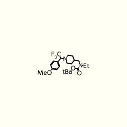 CCN(CC1CCN(C(c2ccc(OC)cc2)C(F)(F)F)CC1)C(=O)OC(C)(C)C